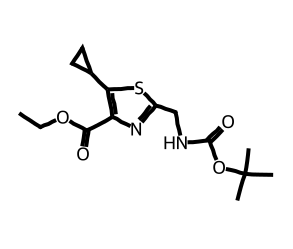 CCOC(=O)c1nc(CNC(=O)OC(C)(C)C)sc1C1CC1